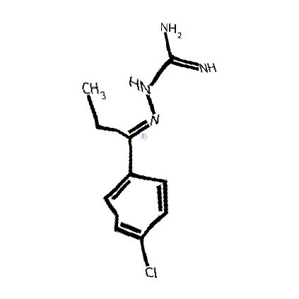 CC/C(=N\NC(=N)N)c1ccc(Cl)cc1